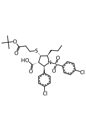 CCC[C@@H]1[C@@H](SCCC(=O)OC(C)(C)C)[C@@H](C(=O)O)[C@H](c2ccc(Cl)cc2)N1S(=O)(=O)c1ccc(Cl)cc1